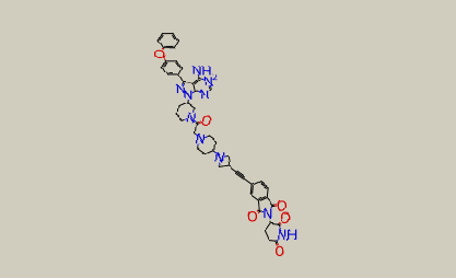 Nc1ncnc2c1c(-c1ccc(Oc3ccccc3)cc1)nn2C1CCCN(C(=O)CN2CCC(N3CC(C#Cc4ccc5c(c4)C(=O)N(C4CCC(=O)NC4=O)C5=O)C3)CC2)C1